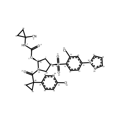 N#CC1(NC(=O)O[C@H]2C[C@@H](S(=O)(=O)c3ccc(-n4cccn4)cc3Cl)CN2C(=O)C2(c3ccc(Cl)nc3)CC2)CC1